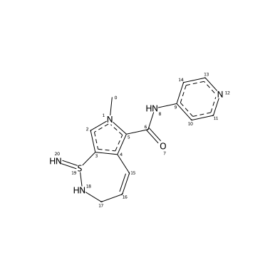 Cn1cc2c(c1C(=O)Nc1ccncc1)C=CCNS2=N